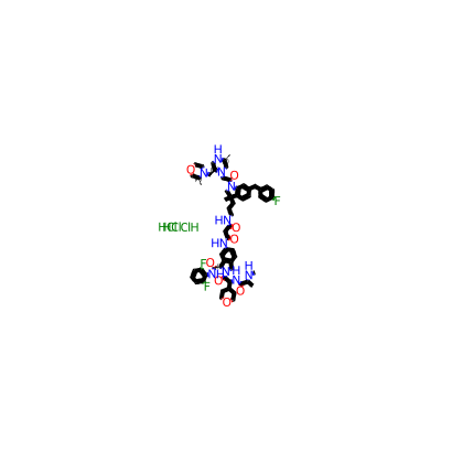 CNC(C)C(=O)NC(C(=O)N1Cc2ccc(NC(=O)CC(=O)NCCCC3(C)CN(C(=O)CN4C[C@@H](C)NC[C@@H]4CN4CCOC[C@H]4C)c4cc(Cc5ccc(F)cc5)ccc43)cc2[C@H]1C(=O)Nc1c(F)cccc1F)C1CCOCC1.Cl.Cl.Cl